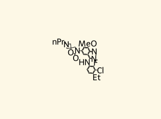 CCCN1CC2(C1)CN(c1cc3c(Nc4ccc(CC)c(Cl)c4F)ncnc3cc1OC)C(=O)O2